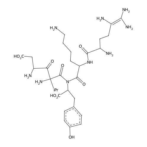 CC(C)C(N)(C(=O)C(N)CC(=O)O)C(=O)N(C(=O)C(CCCCN)NC(=O)C(N)CCC(N)=C(N)N)C(Cc1ccc(O)cc1)C(=O)O